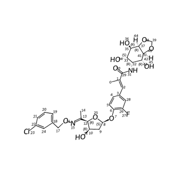 CC(=Cc1ccc(O[C@H]2C[C@@H](O)[C@@H](C(C)=NOCc3cccc(Cl)c3)O2)c(F)c1)C(=O)N[C@@H]1[C@H](O)[C@@H](O)[C@H]2OCO[C@H]2[C@@H]1O